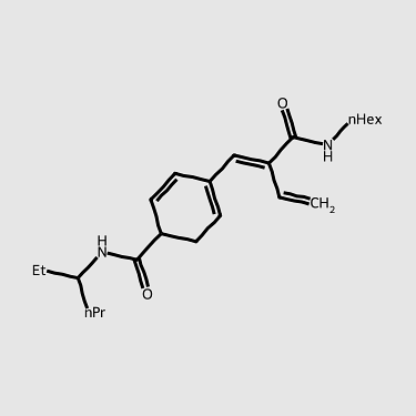 C=C/C(=C\C1=CCC(C(=O)NC(CC)CCC)C=C1)C(=O)NCCCCCC